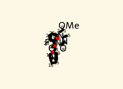 COCCn1c(C)nc(=O)n(CCCN2C3CCC2CC(OCc2ccccc2F)C3)c1=O